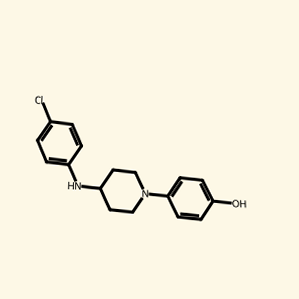 Oc1ccc(N2CCC(Nc3ccc(Cl)cc3)CC2)cc1